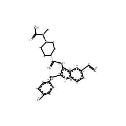 CN(C(=O)O)[C@H]1CC[C@H](C(=O)Nc2c(Nc3ccc(Cl)cn3)oc3ccc(C=O)nc23)CC1